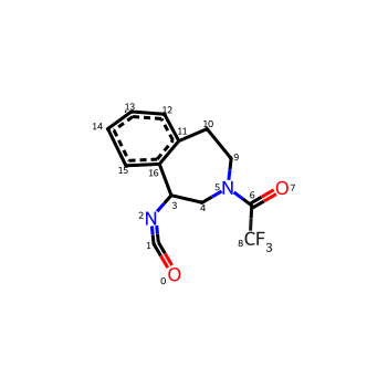 O=C=NC1CN(C(=O)C(F)(F)F)CCc2c[c]ccc21